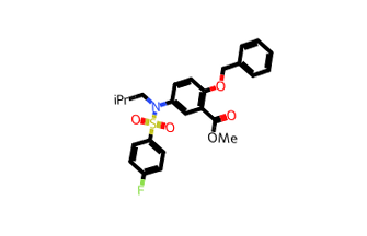 COC(=O)c1cc(N(CC(C)C)S(=O)(=O)c2ccc(F)cc2)ccc1OCc1ccccc1